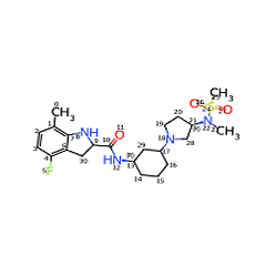 Cc1ccc(F)c2c1NC(C(=O)N[C@@H]1CCCC(N3CC[C@@H](N(C)S(C)(=O)=O)C3)C1)C2